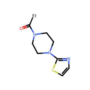 [CH2]CC(=O)N1CCN(c2nccs2)CC1